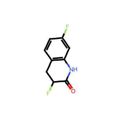 O=C1Nc2cc(F)ccc2CC1F